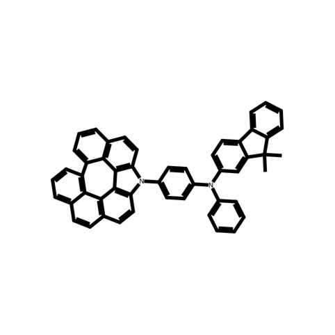 CC1(C)c2ccccc2-c2ccc(N(c3ccccc3)c3ccc(-n4c5ccc6cccc7c6c5c5c6c(ccc8cccc-7c86)ccc54)cc3)cc21